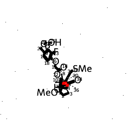 CO[C@@H]1CC[C@@]23CC[C@@H](C)[C@@](C)([C@H](OC(=O)COc4ccc5c(c4F)B(O)OC5)C[C@@](C)(CSC)C(=O)[C@@H]2C)[C@@H]13